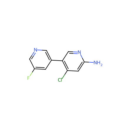 Nc1cc(Cl)c(-c2cncc(F)c2)cn1